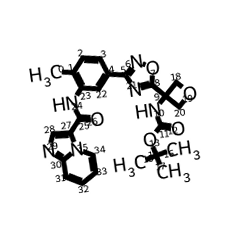 Cc1ccc(-c2noc(C3(NC(=O)OC(C)(C)C)COC3)n2)cc1NC(=O)c1cnc2ccccn12